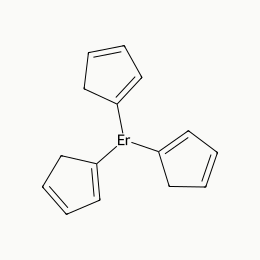 C1=CC[C]([Er]([C]2=CC=CC2)[C]2=CC=CC2)=C1